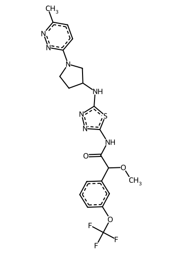 COC(C(=O)Nc1nnc(NC2CCN(c3ccc(C)nn3)C2)s1)c1cccc(OC(F)(F)F)c1